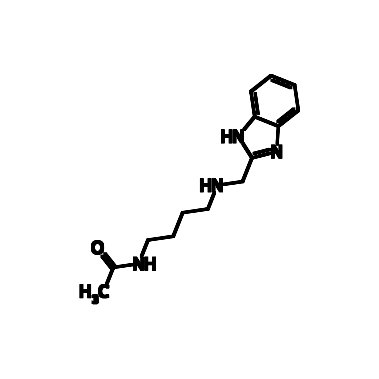 CC(=O)NCCCCNCc1nc2ccccc2[nH]1